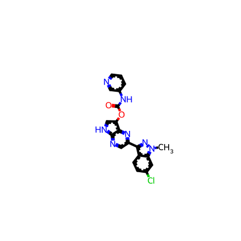 Cn1nc(-c2cnc3[nH]cc(OC(=O)Nc4cccnc4)c3n2)c2ccc(Cl)cc21